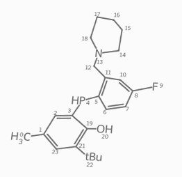 Cc1cc(Pc2ccc(F)cc2CN2CCCCC2)c(O)c(C(C)(C)C)c1